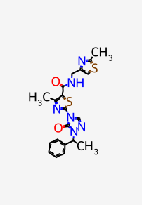 Cc1nc(CNC(=O)c2sc(-n3cnn(C(C)c4ccccc4)c3=O)nc2C)cs1